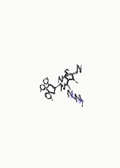 C/C=N\C=N/Cc1nc(-c2cc(OC)c(OC)c(OC)c2)nc2sc(C#N)c(C)c12